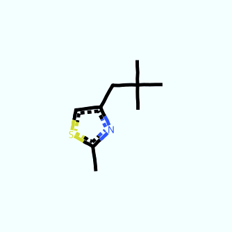 Cc1nc(CC(C)(C)C)cs1